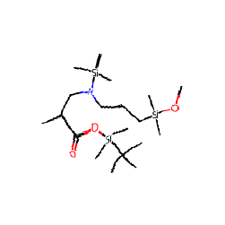 CO[Si](C)(C)CCCN(CC(C)C(=O)O[Si](C)(C)C(C)(C)C)[Si](C)(C)C